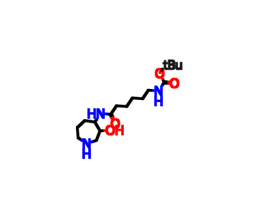 CC(C)(C)OC(=O)NCCCCCC(=O)NC1CCCNCC1O